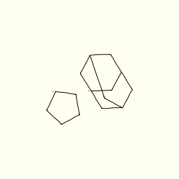 C1[C]2CC3CC1CC(C2)C3.[CH]1CCCC1